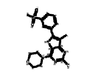 Cc1c(-c2cccc(S(C)(=O)=O)c2)sc2c([N+]3CCOCC3)nc(Cl)nc12